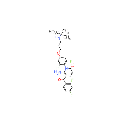 CC(C)(NCCCOc1cc(F)c(-n2c(N)c(C(=O)c3ccc(F)cc3F)ccc2=O)c(F)c1)C(=O)O